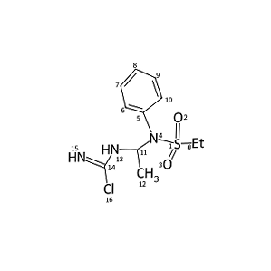 CCS(=O)(=O)N(c1ccccc1)C(C)NC(=N)Cl